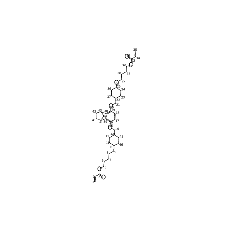 C=CC(=O)OCCCCCC1CCC(COc2ccc(OCC3CCC(OCCCCOC(=O)C=C)CC3)c3c2C2CCC3C2)CC1